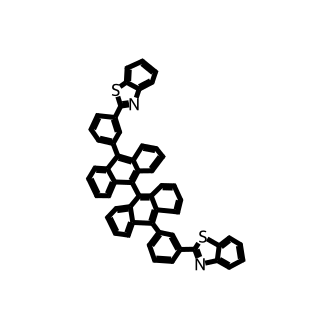 c1cc(-c2nc3ccccc3s2)cc(-c2c3ccccc3c(-c3c4ccccc4c(-c4cccc(-c5nc6ccccc6s5)c4)c4ccccc34)c3ccccc23)c1